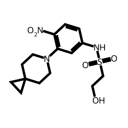 O=[N+]([O-])c1ccc(NS(=O)(=O)CCO)cc1N1CCC2(CC1)CC2